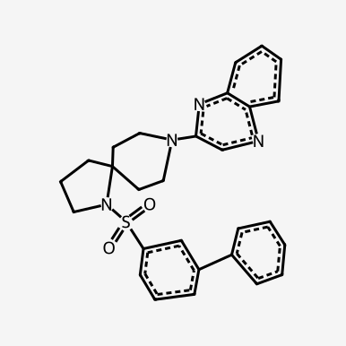 O=S(=O)(c1cccc(-c2ccccc2)c1)N1CCCC12CCN(c1cnc3ccccc3n1)CC2